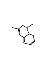 CC1=CC2=CC=CCC2N(C)C1